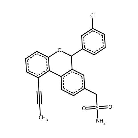 CC#Cc1cccc2c1-c1ccc(CS(N)(=O)=O)cc1C(c1cccc(Cl)c1)O2